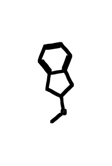 COC1Cc2ccccc2C1